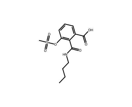 CCCCNC(=O)c1c(OS(C)(=O)=O)cccc1C(=O)O